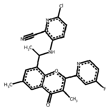 Cc1cc(C(C)Nc2ccc(Cl)nc2C#N)c2oc(-c3cc(F)ccn3)c(C)c(=O)c2c1